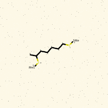 CSSCCCCCC(C)SSC